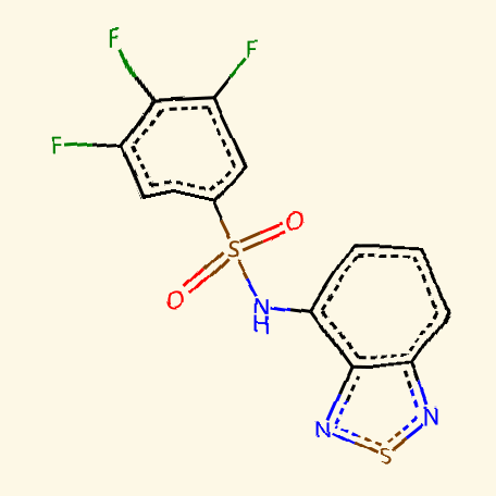 O=S(=O)(Nc1cccc2nsnc12)c1cc(F)c(F)c(F)c1